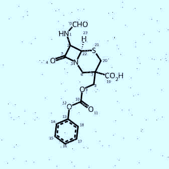 O=CNC1C(=O)N2CC(COC(=O)Oc3ccccc3)(C(=O)O)CS[C@H]12